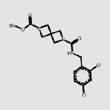 CC(C)(C)OC(=O)N1CC2(CN(C(=O)NCc3ccc(Cl)cc3Cl)C2)C1